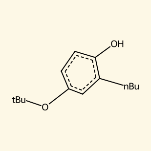 CCCCc1cc(OC(C)(C)C)ccc1O